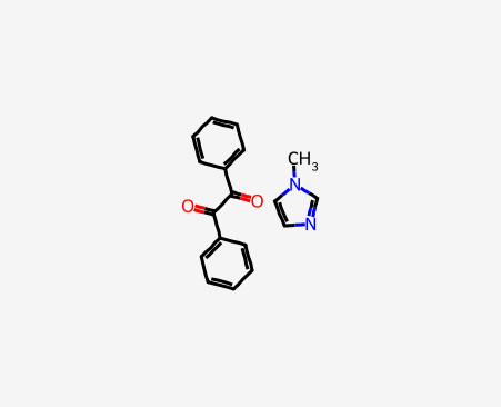 Cn1ccnc1.O=C(C(=O)c1ccccc1)c1ccccc1